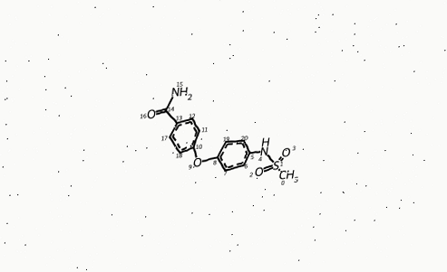 CS(=O)(=O)Nc1ccc(Oc2ccc(C(N)=O)cc2)cc1